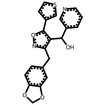 OC(c1cccnc1)c1c(Cc2ccc3c(c2)OCO3)noc1-c1ccsc1